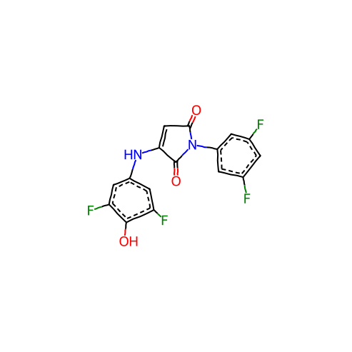 O=C1C=C(Nc2cc(F)c(O)c(F)c2)C(=O)N1c1cc(F)cc(F)c1